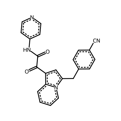 N#Cc1ccc(Cc2cc(C(=O)C(=O)Nc3ccncc3)c3ccccn23)cc1